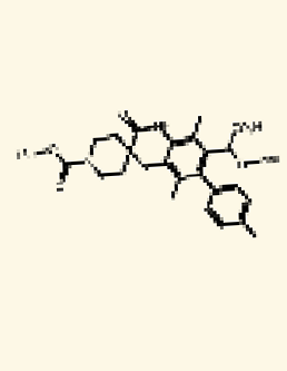 Cc1ccc(-c2c(C)c3c(c(C)c2[C@H](OC(C)(C)C)C(=O)O)NC(=O)C2(CCN(C(=O)OC(C)(C)C)CC2)N3)cc1